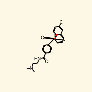 CN(C)CCNC(=O)c1ccc(C2=C3C=CC=C4C=C(Cl)C=CC43C[N]C2=O)cc1